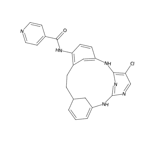 O=C(Nc1ccc2cc1CCC1C=CC=C(C1)Nc1ncc(Cl)c(n1)N2)c1ccncc1